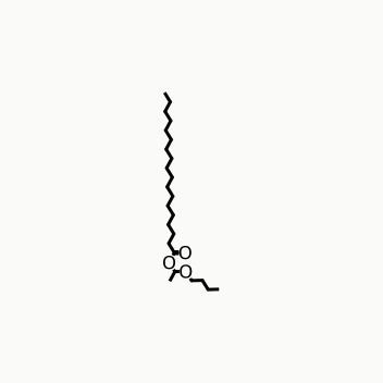 CCCCCCCCCCCCCCCCCC(=O)OC(C)OCCCC